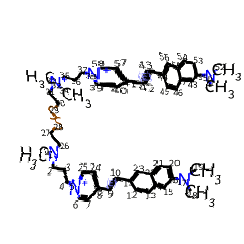 CN(CCC[n+]1ccc(/C=C/c2ccc3cc(N(C)C)ccc3c2)cc1)CCSSCC[N+](C)(C)CCC[n+]1ccc(/C=C/c2ccc3cc(N(C)C)ccc3c2)cc1